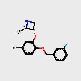 C[C@H]1NC[C@@H]1Oc1cc(Br)ccc1OCc1cccc(F)c1